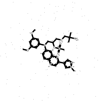 COc1cc(OC)cc(N(CC(COCC(C)(C)N)OS(C)(=O)=O)c2ccc3ncc(-c4cnn(C)c4)nc3c2)c1